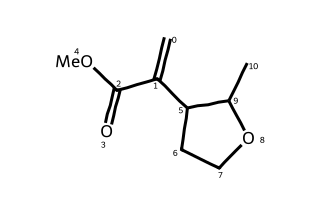 C=C(C(=O)OC)C1CCOC1C